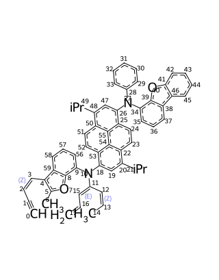 C#C/C=C\c1c(C)oc2c(N(C(/C=C\C)=C/C=C)c3cc(C(C)C)c4ccc5c(N(c6ccccc6)c6cccc7c6oc6ccccc67)cc(C(C)C)c6ccc3c4c65)cccc12